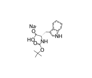 CC(C)(C)OC(=O)N[C@@H](Cc1c[nH]c2ccccc12)C(=O)O.[Na]